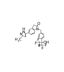 Cc1cc(-c2ccc3c(c2)CC(=O)N3Cc2ccc(C(O)(C(F)(F)F)C(F)(F)F)cc2)[nH]n1